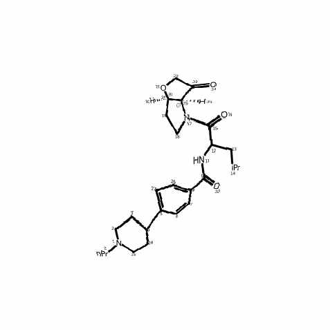 CCCN1CCC(c2ccc(C(=O)NC(CC(C)C)C(=O)N3CC[C@H]4OCC(=O)[C@H]43)cc2)CC1